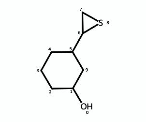 OC1CCCC(C2CS2)C1